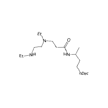 CCCCCCCCCCCCC(C)NC(=O)CCN(CC)CCNCC